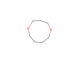 [CH]1CCOCCCOC1